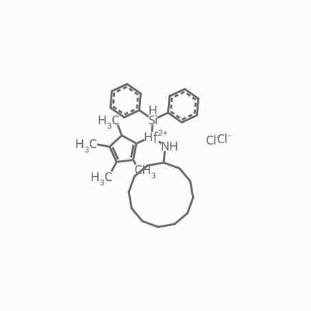 CC1=C(C)C(C)[C]([Hf+2]([NH]C2CCCCCCCCCCC2)[SiH](c2ccccc2)c2ccccc2)=C1C.[Cl-].[Cl-]